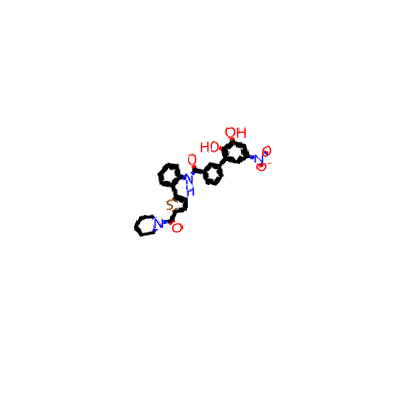 O=C(Nc1ccccc1-c1ccc(C(=O)N2CCCCC2)s1)c1cccc(-c2cc([N+](=O)[O-])cc(O)c2O)c1